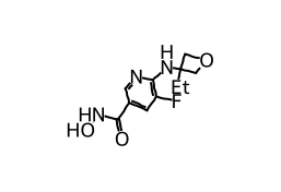 CCC1(Nc2ncc(C(=O)NO)cc2F)COC1